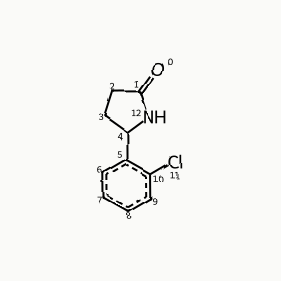 O=C1CCC(c2ccccc2Cl)N1